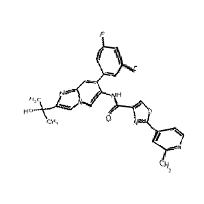 Cc1cc(-c2nc(C(=O)Nc3cn4cc(C(C)(C)O)nc4cc3-c3cc(F)cc(F)c3)co2)ccn1